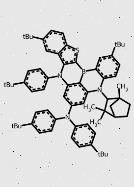 CC(C)(C)c1ccc(N(c2ccc(C(C)(C)C)cc2)c2cc3c4c(c2)N(C2C5(C)CCC(C5)C2(C)C)c2ccc(C(C)(C)C)cc2B4c2sc4ccc(C(C)(C)C)cc4c2N3c2ccc(C(C)(C)C)cc2)cc1